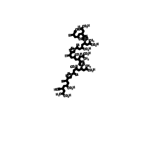 C#CC(CC(C)C(=O)O)CC(CC(CC)c1cn(C(CC)CC(CC(CC(C)C(=O)O)n2cc(C(CC(C)C(=O)O)CC(CC(CC)c3cn(C(CC)CC(CC(CC(C)C(=O)O)n4cc(C(CC(C)C(=O)O)CC(CC(C#C)CC)C(=O)O)nn4)C(=O)O)nn3)C(=O)O)nn2)C(=O)O)nn1)C(=O)O